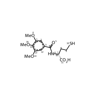 COc1cc(C(=O)N[C@H](CCS)C(=O)O)cc(OC)c1OC